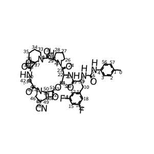 Cc1ccc(NC(=O)N[C@@H](Cc2cc(F)cc(F)c2)C(=O)NC2C(=O)N3CCC[C@H]3C(=O)N3CCCC[C@H]3C(=O)N[C@@H](C)C(=O)N3C[C@@H](C#N)C[C@H]3C(=O)O[C@H]2C)cc1